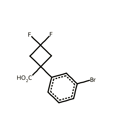 O=C(O)C1(c2cccc(Br)c2)CC(F)(F)C1